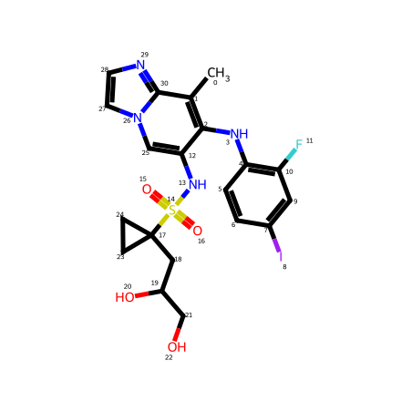 Cc1c(Nc2ccc(I)cc2F)c(NS(=O)(=O)C2(CC(O)CO)CC2)cn2ccnc12